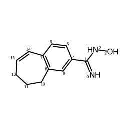 N=C(NO)c1ccc2c(c1)CCCC=C2